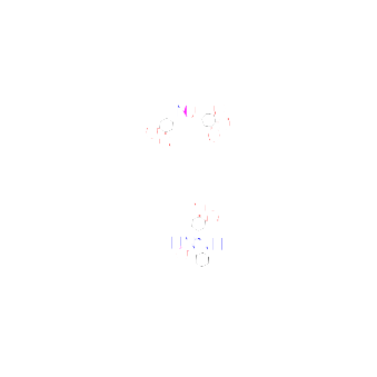 COc1cc(C2NC(=O)c3cc(C)ccc3N2)ccc1OCCCCCCCCCCOc1cc(C2=NOC(c3cc(OC)c(OC)c(OC)c3)C2)ccc1OC